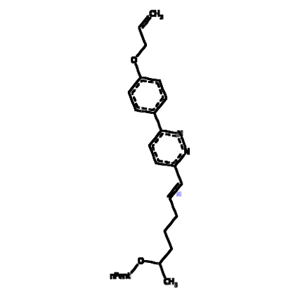 C=CCOc1ccc(-c2ccc(/C=C/CCCC(C)OCCCCC)nn2)cc1